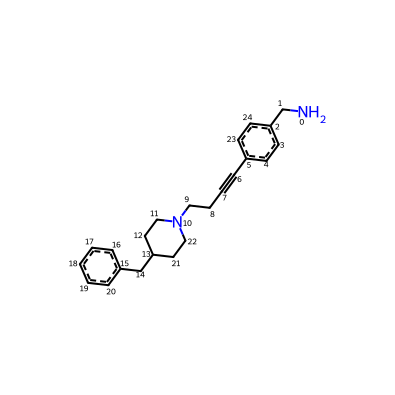 NCc1ccc(C#CCCN2CCC(Cc3ccccc3)CC2)cc1